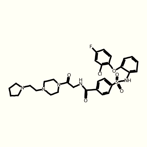 O=C(NCC(=O)N1CCN(CCN2CCCC2)CC1)c1ccc(S(=O)(=O)Nc2ccccc2Oc2ccc(F)cc2Cl)cc1